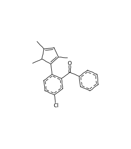 CC1=CC(C)=C(c2ccc(Cl)cc2C(=O)c2ccccc2)C1C